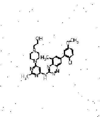 COc1ccc(Cl)c(-c2cc(C)c3nc(Nc4cc(N5CCN(CCO)CC5)nc(C)n4)nnc3c2)c1